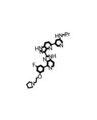 CC(C)Nc1cncc(-c2ccc3[nH]nc(-c4nc5c(-c6cc(F)cc(OCCN7CCCC7)c6)nccc5[nH]4)c3n2)c1